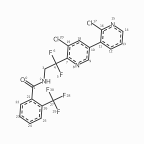 O=C(NCC(F)(F)c1ncc(-c2cccnc2Cl)cc1Cl)c1ccccc1C(F)(F)F